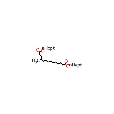 CCCCCCCOC(=O)CCCCCCCCCC(C)CCC(=O)OCCCCCCC